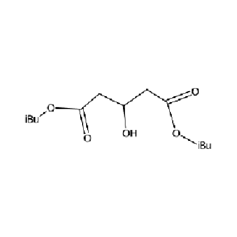 CCC(C)OC(=O)CC(O)CC(=O)OC(C)CC